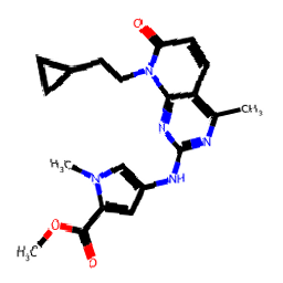 COC(=O)c1cc(Nc2nc(C)c3ccc(=O)n(CCC4CC4)c3n2)cn1C